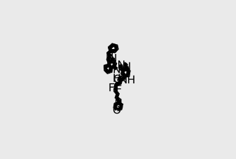 O=C(C=CC(F)(F)CCCCN1CCOCC1)Nc1ccc2ncnc(Nc3cc4nn(Cc5ccccc5)cc4c4ccccc34)c2c1